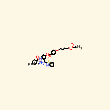 C=CC(=O)OCCCCCCOc1ccc(C(=O)Oc2ccc(OC(=O)C3CCC(CC)CC3)c(C(=NNCCCCCC)c3nc4ccccc4s3)c2)cc1